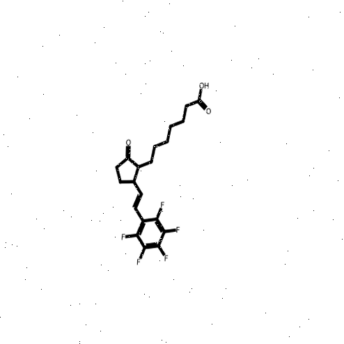 O=C(O)CCCCCCC1C(=O)CCC1C=Cc1c(F)c(F)c(F)c(F)c1F